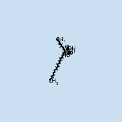 CCCCCCCCCCCCCCCCCCCCC(CCCCCCCCC)SC(O)(CC(=O)O)C(=O)O